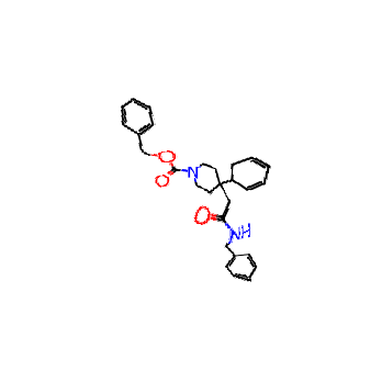 O=C(CC1(C2C=CC=CC2)CCN(C(=O)OCc2ccccc2)CC1)NCc1ccccc1